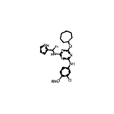 CCC(Nc1nc(Nc2ccc(OC)c(Cl)c2)nc(OC2CCCCCC2)n1)c1ccc[nH]1